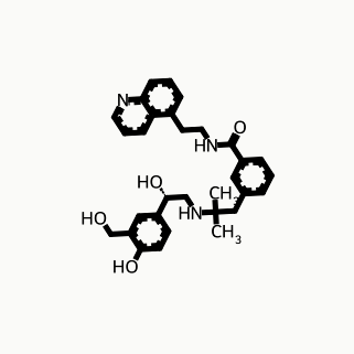 CC(C)(Cc1cccc(C(=O)NCCc2cccc3ncccc23)c1)NC[C@@H](O)c1ccc(O)c(CO)c1